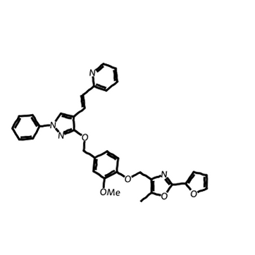 COc1cc(COc2nn(-c3ccccc3)cc2C=Cc2ccccn2)ccc1OCc1nc(-c2ccco2)oc1C